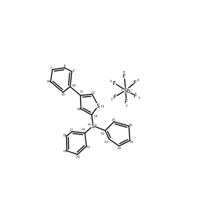 [F][Sb-]([F])([F])([F])([F])[F].c1ccc(-c2csc([S+](c3ccccc3)c3ccccc3)c2)cc1